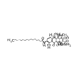 CCCCCCCCCCCCCCCC(=O)Nc1ccc2c(c1O)C(=O)C1=C(O)[C@]3(O)C(=N)C(C(N)=O)=C(O)[C@@H](N(C)C)C3[C@@H](O)C1[C@H]2C